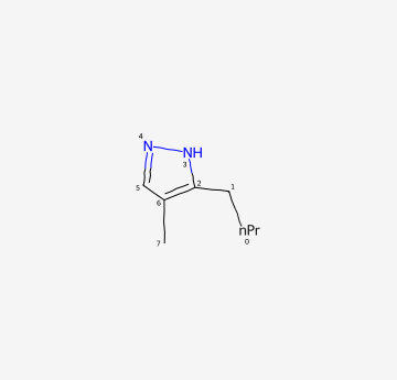 CCCCc1[nH]ncc1C